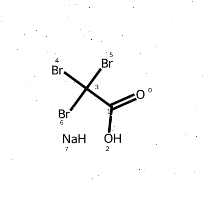 O=C(O)C(Br)(Br)Br.[NaH]